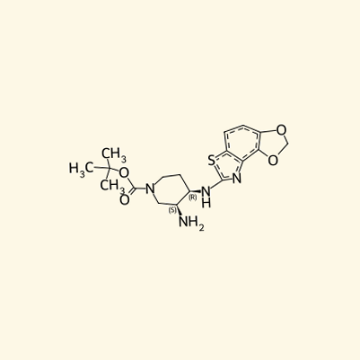 CC(C)(C)OC(=O)N1CC[C@@H](Nc2nc3c4c(ccc3s2)OCO4)[C@@H](N)C1